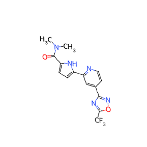 CN(C)C(=O)c1ccc(-c2cc(-c3noc(C(F)(F)F)n3)ccn2)[nH]1